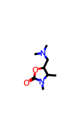 CC1C(CN(C)C)OC(=O)N1C